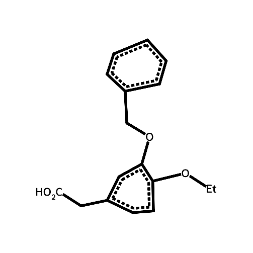 CCOc1ccc(CC(=O)O)cc1OCc1ccccc1